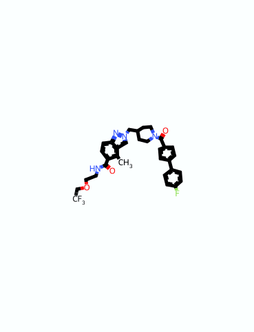 Cc1c(C(=O)NCCOCC(F)(F)F)ccc2nn(CC3CCN(C(=O)c4ccc(-c5ccc(F)cc5)cc4)CC3)cc12